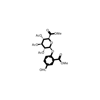 COC(=O)c1cc(C=O)ccc1O[C@@H]1O[C@H](C(=O)OC)[C@@H](OC(C)=O)[C@H](OC(C)=O)[C@H]1OC(C)=O